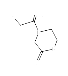 C=C(CC(C)C)N1CCNC(=O)C1